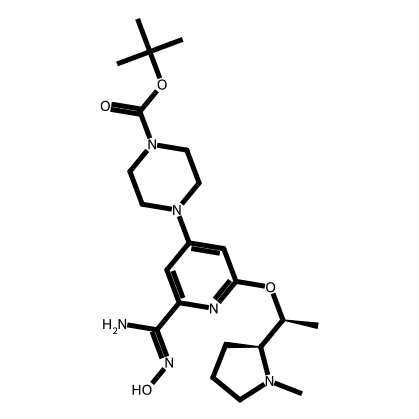 C[C@H](Oc1cc(N2CCN(C(=O)OC(C)(C)C)CC2)cc(/C(N)=N/O)n1)[C@@H]1CCCN1C